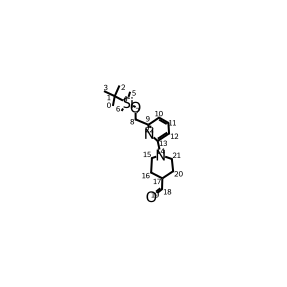 CC(C)(C)[Si](C)(C)OCc1cccc(N2CCC(C=O)CC2)n1